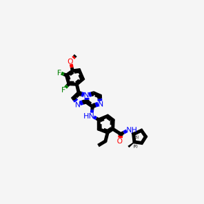 CCc1cc(Nc2nccn3c(-c4ccc(OC)c(F)c4F)cnc23)ccc1C(=O)N[C@H]1CCC[C@H]1C